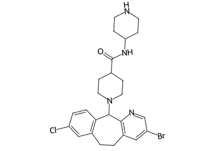 O=C(NC1CCNCC1)C1CCN(C2c3ccc(Cl)cc3CCc3cc(Br)cnc32)CC1